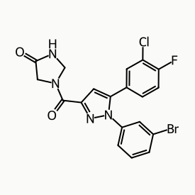 O=C1CN(C(=O)c2cc(-c3ccc(F)c(Cl)c3)n(-c3cccc(Br)c3)n2)CN1